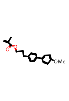 C=C(C)C(=O)OCCCc1ccc(-c2ccc(OC)cc2)cc1